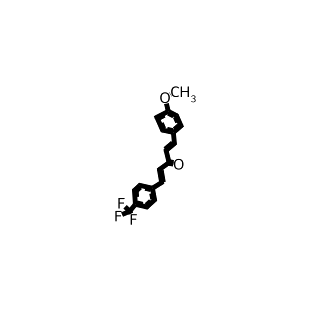 COc1ccc(C=CC(=O)C=Cc2ccc(C(F)(F)F)cc2)cc1